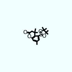 Cc1cc2c(c(B3OC(C)(C)C(C)(C)O3)c1)C(C)(C)CC(=O)O2